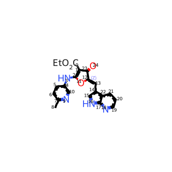 CCOC(=O)C1=C(Nc2ccc(C)nc2)O/C(=C\c2c[nH]c3ncccc23)C1=O